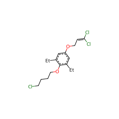 CCc1cc(OCC=C(Cl)Cl)cc(CC)c1OCCCCCl